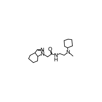 CN(CCNC(=O)CN1N=CC2CCCCC21)C1CCCCC1